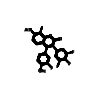 CC(=O)Oc1ccc(-c2c(-c3cc(F)c(F)c(F)c3)c(=O)oc3c(C)c(OC(C)=O)ccc23)cc1F